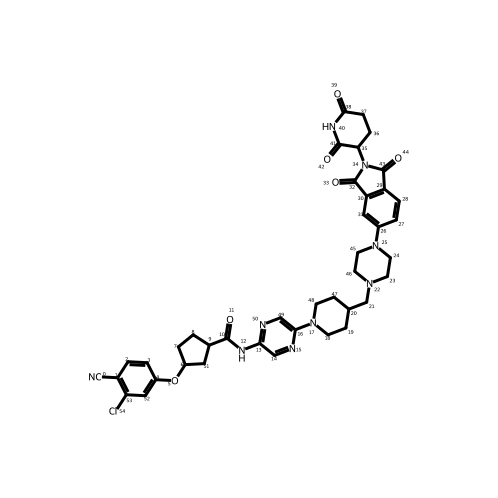 N#Cc1ccc(OC2CCC(C(=O)Nc3cnc(N4CCC(CN5CCN(c6ccc7c(c6)C(=O)N(C6CCC(=O)NC6=O)C7=O)CC5)CC4)cn3)C2)cc1Cl